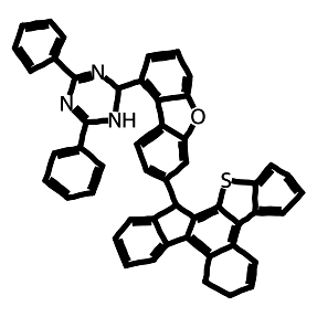 C1=Cc2c(c3c(c4sc5ccccc5c24)C(c2ccc4c(c2)oc2cccc(C5N=C(c6ccccc6)N=C(c6ccccc6)N5)c24)c2ccccc2-3)CC1